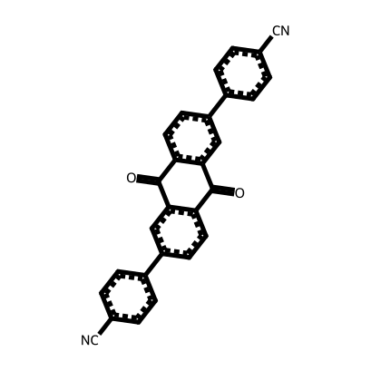 N#Cc1ccc(-c2ccc3c(c2)C(=O)c2ccc(-c4ccc(C#N)cc4)cc2C3=O)cc1